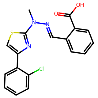 CN(N=Cc1ccccc1C(=O)O)c1nc(-c2ccccc2Cl)cs1